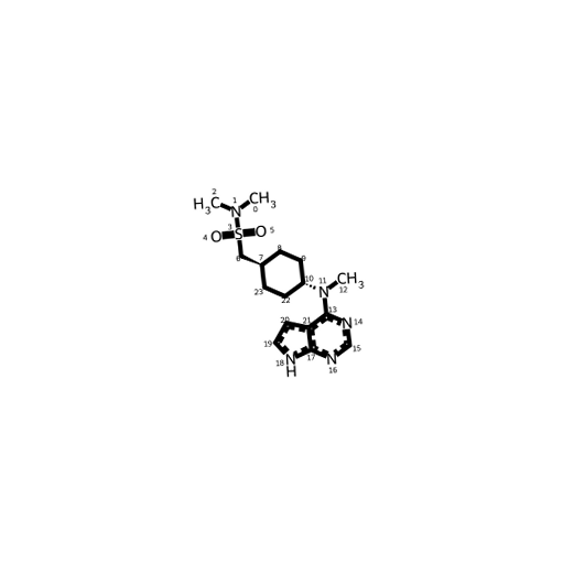 CN(C)S(=O)(=O)C[C@H]1CC[C@H](N(C)c2ncnc3[nH]ccc23)CC1